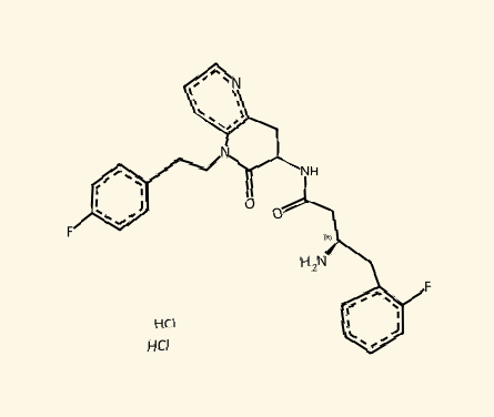 Cl.Cl.N[C@@H](CC(=O)NC1Cc2ncccc2N(CCc2ccc(F)cc2)C1=O)Cc1ccccc1F